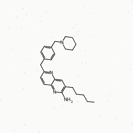 CCCCCc1cc2nc(Cc3ccc(CN4CCCCC4)cc3)ccc2nc1N